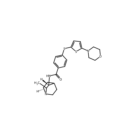 C[C@H]1[C@H](NC(=O)c2ccc(Sc3ccc(N4CCOCC4)s3)cc2)C2CCN1CC2